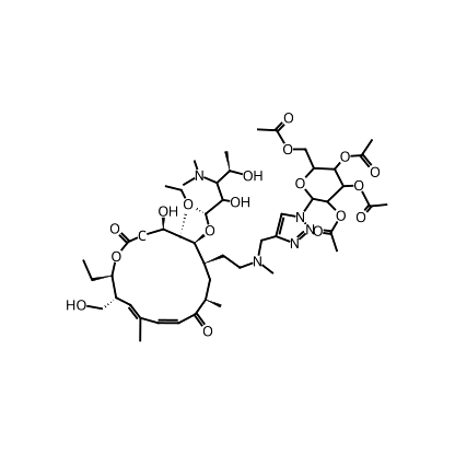 CCO[C@@H](O[C@H]1[C@@H](CCN(C)Cc2cn(C3OC(COC(C)=O)C(OC(C)=O)C(OC(C)=O)C3OC(C)=O)nn2)C[C@@H](C)C(=O)/C=C/C(C)=C/[C@H](CO)[C@@H](CC)OC(=O)C[C@@H](O)[C@@H]1C)C(O)C([C@@H](C)O)N(C)C